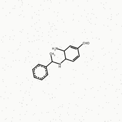 CC(NC1C=CC(C=O)=CC1N)c1ccccc1